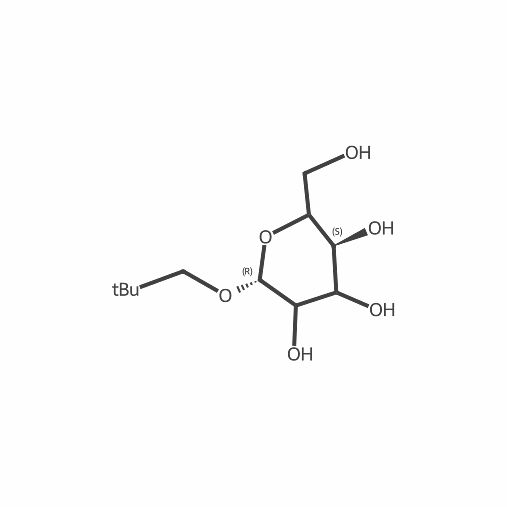 CC(C)(C)CO[C@@H]1OC(CO)[C@@H](O)C(O)C1O